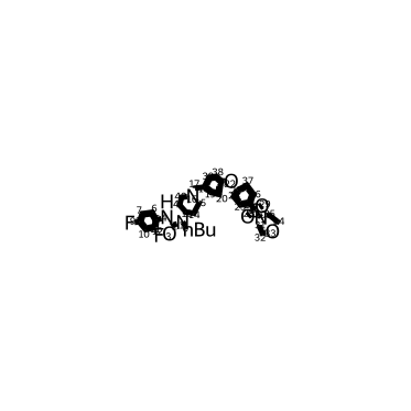 CCCCN(C(=O)Nc1ccc(F)cc1F)C1CCN(Cc2ccc(Oc3ccc(S(=O)(=O)N4CCOCC4)cc3)cc2)CC1